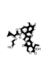 CC[C@@]1(O)C(=O)OCc2c1cc1n(c2=O)Cc2c-1nc1cc(F)c(C)c3c1c2[C@@H](NC(=O)[C@@H](OCCO)C1CC1)CC3